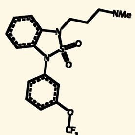 CNCCCN1c2ccccc2N(c2cccc(OC(F)(F)F)c2)S1(=O)=O